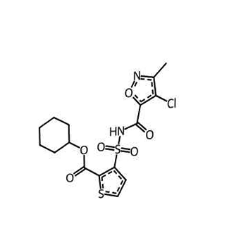 Cc1noc(C(=O)NS(=O)(=O)c2ccsc2C(=O)OC2CCCCC2)c1Cl